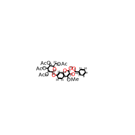 COc1c(OC(=O)c2ccccc2)c(=O)oc2cc(O[C@@H]3O[C@H](COC(C)=O)[C@H](OC(C)=O)[C@H](OC(C)=O)[C@H]3OC(C)=O)ccc12